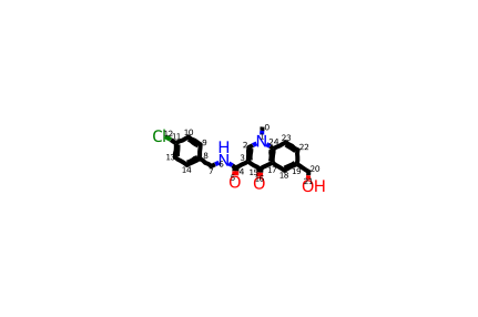 Cn1cc(C(=O)NCc2ccc(Cl)cc2)c(=O)c2cc(CO)ccc21